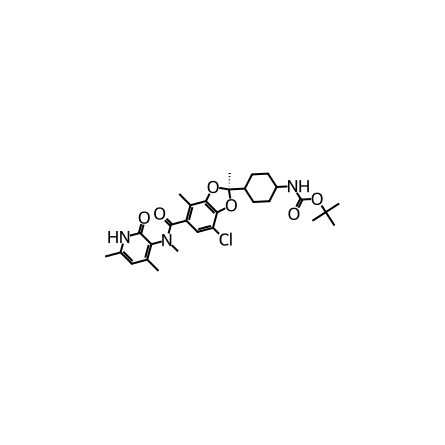 Cc1cc(C)c(N(C)C(=O)c2cc(Cl)c3c(c2C)O[C@@](C)(C2CCC(NC(=O)OC(C)(C)C)CC2)O3)c(=O)[nH]1